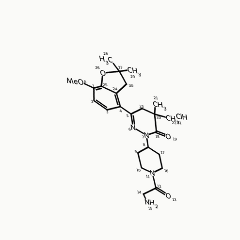 COc1ccc(C2=NN(C3CCN(C(=O)CN)CC3)C(=O)C(C)(C)C2)c2c1OC(C)(C)C2.Cl